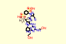 CC(C)(C)c1nn(-c2ccccc2)c(Nc2nc(NCCO)nc(NCCO)n2)c1/N=N/c1c(C#N)cnn1-c1cc(S(=O)(=O)O)ccc1S(=O)(=O)O